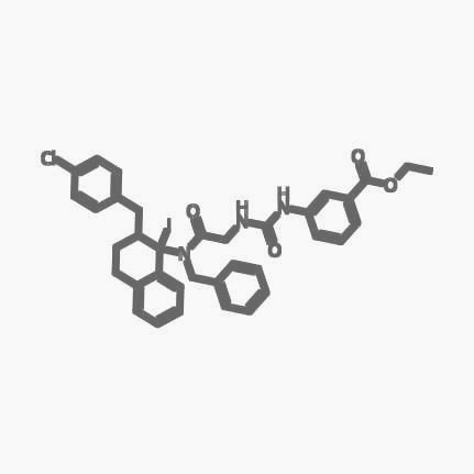 CCOC(=O)c1cccc(NC(=O)NCC(=O)N(Cc2ccccc2)C2(I)c3ccccc3CCC2Cc2ccc(Cl)cc2)c1